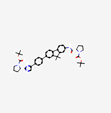 CC(C)(C)OC(=O)N1C[C@@H](F)C[C@H]1C(=O)Nc1ccc2c(c1)C(C)(C)c1cc(-c3ccc(-c4cnc([C@@H]5C[C@H](F)CN5C(=O)OC(C)(C)C)[nH]4)cc3)ccc1-2